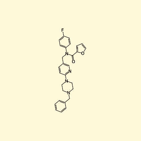 O=C(c1ccco1)N(Cc1ccc(N2CCN(Cc3ccccc3)CC2)nc1)c1ccc(F)cc1